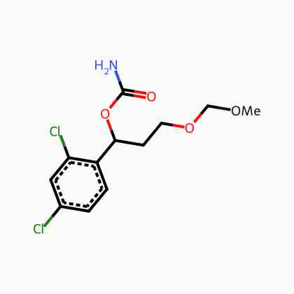 COCOCCC(OC(N)=O)c1ccc(Cl)cc1Cl